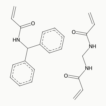 C=CC(=O)NC(c1ccccc1)c1ccccc1.C=CC(=O)NCNC(=O)C=C